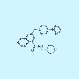 O=C(NCC1CCOCC1)c1cc(Cc2ccc(-n3cccn3)cc2)cc2cccnc12